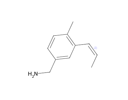 C/C=C\c1cc(CN)ccc1C